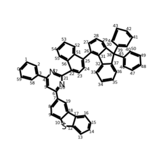 c1ccc(-c2cc(-c3ccc4sc5ccccc5c4c3)nc(-c3ccc(-c4cccc5c4-c4ccccc4C5(c4ccccc4)c4ccccc4)c4ccccc34)n2)cc1